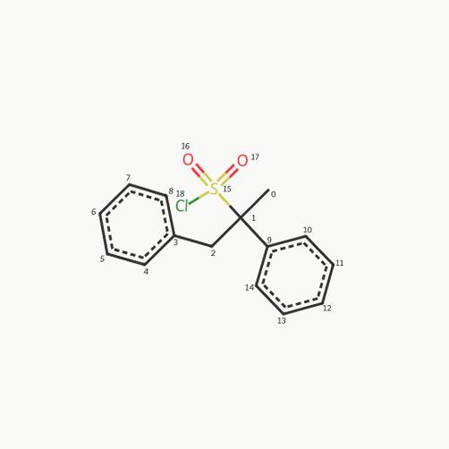 CC(Cc1ccccc1)(c1ccccc1)S(=O)(=O)Cl